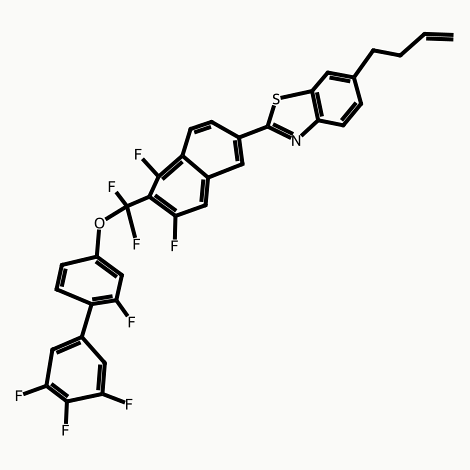 C=CCCc1ccc2nc(-c3ccc4c(F)c(C(F)(F)Oc5ccc(-c6cc(F)c(F)c(F)c6)c(F)c5)c(F)cc4c3)sc2c1